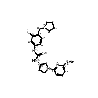 CNc1nccc(N2CC[C@H](NC(=O)Nc3ccc(CN4CCCC4)c(C(F)(F)F)c3)C2)n1